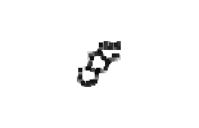 CCCCCC1N=c2ccccc2=CC1=O